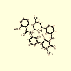 CCCCc1ccccc1C(=O)Nc1cccc(-c2cn(C)c(=O)c(Nc3cccc(CCN(C)CCO)c3)n2)c1C